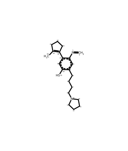 C=Nc1cc(CCCCN2CCCC2)c(S)cc1C1=C(C)CCC1